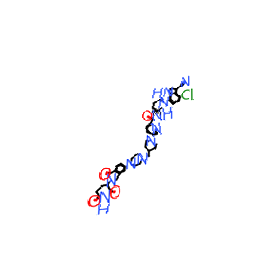 N#Cc1c[nH]c2c(N3CCC[C@@H](NC(=O)c4ccc(N5CCC(CN6CCN(c7ccc8c(c7)CN(C7CCC(=O)NC7=O)C8=O)CC6)CC5)cn4)C3)ccc(Cl)c12